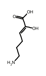 NCCCC=C(O)C(=O)O